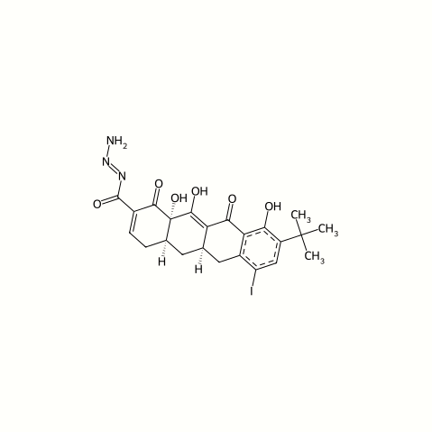 CC(C)(C)c1cc(I)c2c(c1O)C(=O)C1=C(O)[C@]3(O)C(=O)C(C(=O)N=NN)=CC[C@@H]3C[C@@H]1C2